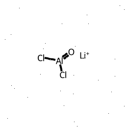 [Li+].[O]=[Al-]([Cl])[Cl]